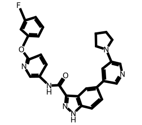 O=C(Nc1ccc(Oc2cccc(F)c2)nc1)c1n[nH]c2ccc(-c3cncc(N4CCCC4)c3)cc12